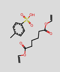 C=COC(=O)CCCCC(=O)OC=C.Cc1ccc(S(=O)(=O)O)cc1